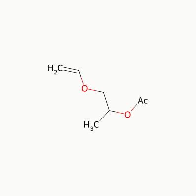 C=COCC(C)OC(C)=O